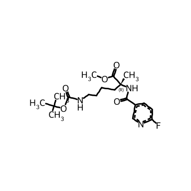 COC(=O)[C@@](C)(CCCCNC(=O)OC(C)(C)C)NC(=O)c1ccc(F)nc1